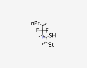 C=C(CC)/C(S)=C(\C)C(F)(F)C(=C)CCC